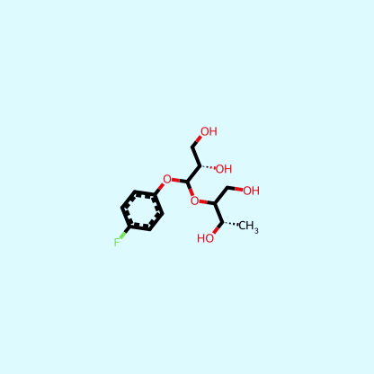 C[C@H](O)C(CO)OC(Oc1ccc(F)cc1)[C@@H](O)CO